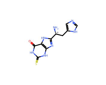 N[C@@H](Cc1cnc[nH]1)c1nc2[nH]c(=S)[nH]c(=O)c2[nH]1